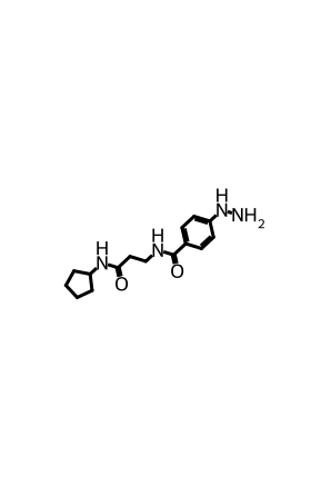 NNc1ccc(C(=O)NCCC(=O)NC2CCCC2)cc1